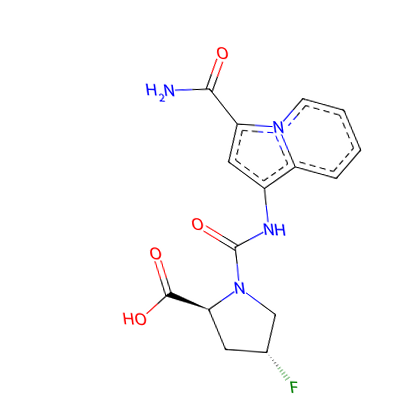 NC(=O)c1cc(NC(=O)N2C[C@H](F)C[C@H]2C(=O)O)c2ccccn12